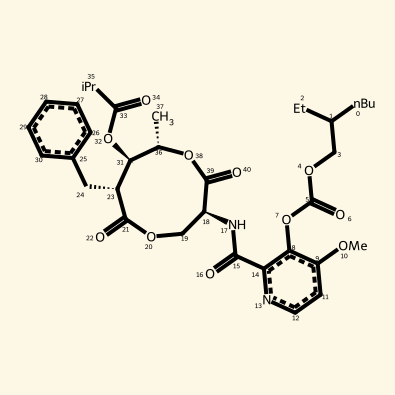 CCCCC(CC)COC(=O)Oc1c(OC)ccnc1C(=O)N[C@H]1COC(=O)[C@H](Cc2ccccc2)[C@@H](OC(=O)C(C)C)[C@H](C)OC1=O